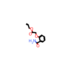 C=CCOC(=O)COc1ccccc1C(N)=O